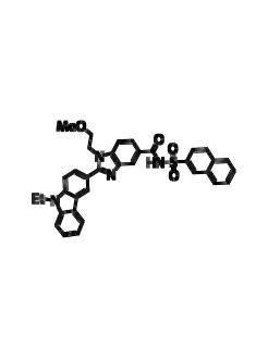 CCn1c2ccccc2c2cc(-c3nc4cc(C(=O)NS(=O)(=O)c5ccc6ccccc6c5)ccc4n3CCOC)ccc21